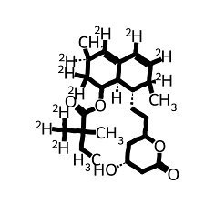 [2H]C1=C([2H])[C@]([2H])(C)[C@H](CCC2C[C@@H](O)CC(=O)O2)[C@@H]2C1=C([2H])[C@]([2H])(C)C([2H])([2H])C2OC(=O)C(C)(CC)C([2H])([2H])[2H]